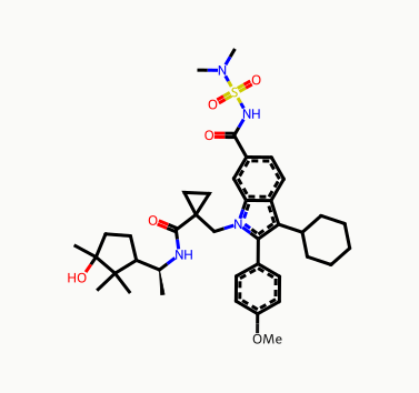 COc1ccc(-c2c(C3CCCCC3)c3ccc(C(=O)NS(=O)(=O)N(C)C)cc3n2CC2(C(=O)N[C@@H](C)C3CCC(C)(O)C3(C)C)CC2)cc1